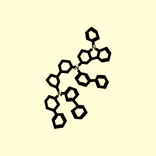 C1=CC2C3CC(N(c4cccc(-c5ccccc5)c4)C4CCCC(C5CCCC(N(c6cccc(-c7ccccc7)c6)C6CCCC(c7ccccc7)C6)C5)C4)CCC3N(c3ccccc3)C2C=C1